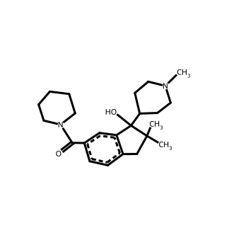 CN1CCC(C2(O)c3cc(C(=O)N4CCCCC4)ccc3CC2(C)C)CC1